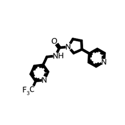 O=C(NCc1ccc(C(F)(F)F)nc1)N1CCC(c2ccncc2)C1